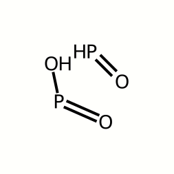 O=P.O=PO